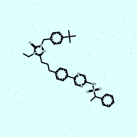 CCn1c(CCCc2ccc(-c3cnc(NS(=O)(=O)C(C)c4ccccc4)cn3)cc2)nn(Cc2ccc(C(C)(C)C)cc2)c1=O